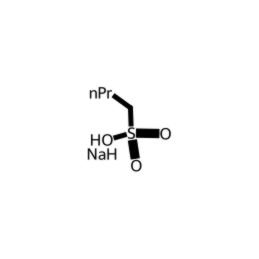 [CH2]CCCS(=O)(=O)O.[NaH]